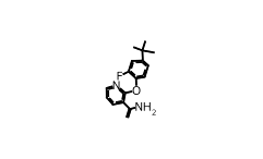 C=C(N)c1cccnc1Oc1ccc(C(C)(C)C)cc1F